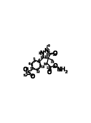 CN1N=C(c2ccc(S(C)(=O)=O)cc2)C(C)(CC(=O)ON)C1=O